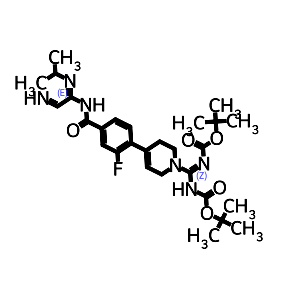 CC(C)/N=C(\C=N)NC(=O)c1ccc(C2=CCN(/C(=N\C(=O)OC(C)(C)C)NC(=O)OC(C)(C)C)CC2)c(F)c1